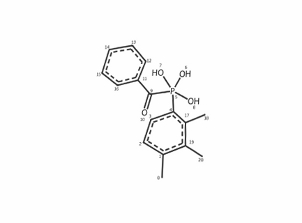 Cc1ccc(P(O)(O)(O)C(=O)c2ccccc2)c(C)c1C